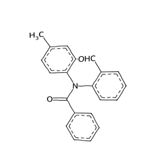 Cc1ccc(N(C(=O)c2ccccc2)c2ccccc2[C]=O)cc1